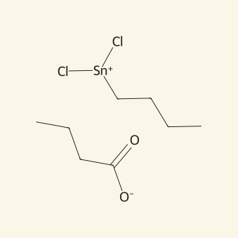 CCCC(=O)[O-].CCC[CH2][Sn+]([Cl])[Cl]